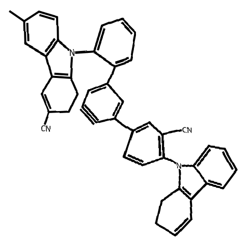 Cc1ccc2c(c1)c1c(n2-c2ccccc2-c2cc#cc(-c3ccc(-n4c5c(c6ccccc64)C=CCC5)c(C#N)c3)c2)CCC(C#N)=C1